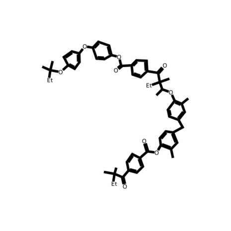 CCC(C)(C)Oc1ccc(Oc2ccc(OC(=O)c3ccc(C(=O)C(C)(CC)C(C)Oc4ccc(Cc5ccc(OC(=O)c6ccc(C(=O)C(C)(C)CC)cc6)c(C)c5)cc4C)cc3)cc2)cc1